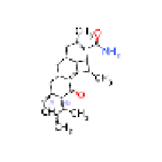 C=C/C(C)=C1/C(=O)C2=C3C(C)C4C(C(N)=O)=C(C)CC(CC2C/C1=C/C)C34